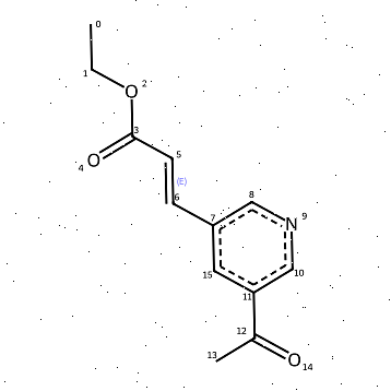 CCOC(=O)/C=C/c1cncc(C(C)=O)c1